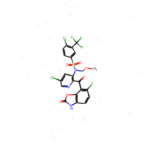 COCN(c1cc(Cl)cnc1C(=O)c1c(F)ccc2[nH]c(=O)oc12)S(=O)(=O)c1ccc(Cl)c(C(F)(F)F)c1